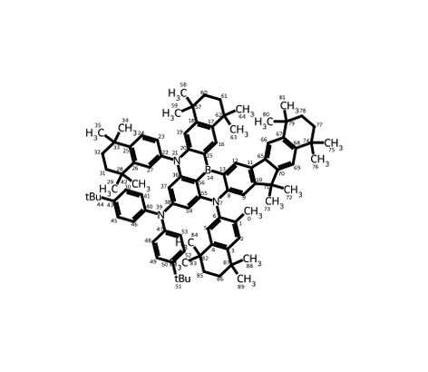 Cc1cc2c(cc1N1c3cc4c(cc3B3c5cc6c(cc5N(c5ccc7c(c5)C(C)(C)CCC7(C)C)c5cc(N(c7ccc(C(C)(C)C)cc7)c7ccc(C(C)(C)C)cc7)cc1c53)C(C)(C)CCC6(C)C)-c1cc3c(cc1C4(C)C)C(C)(C)CCC3(C)C)C(C)(C)CCC2(C)C